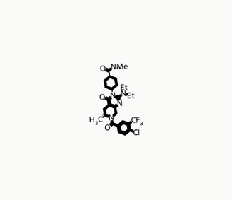 CCN(CC)c1nc2c(c(=O)n1[C@H]1CC[C@H](C(=O)NC)CC1)C[C@@H](C)N(C(=O)c1ccc(Cl)c(C(F)(F)F)c1)C2